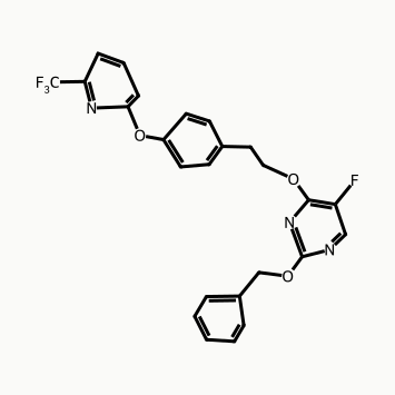 Fc1cnc(OCc2ccccc2)nc1OCCc1ccc(Oc2cccc(C(F)(F)F)n2)cc1